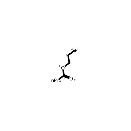 CCCC(=O)O[CH]CC(C)C